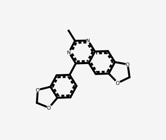 Cc1nc(-c2ccc3c(c2)OCO3)c2cc3c(cc2n1)OCO3